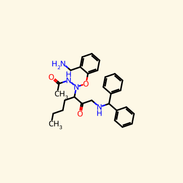 CCCCC(C(=O)CNC(c1ccccc1)c1ccccc1)N(NC(C)=O)Oc1ccccc1CN